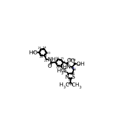 Cc1nc(C(C)C)sc1/C=C(\NC(=O)c1ccc(C(=O)NCc2cccc(O)c2)cc1Cl)C(=O)O